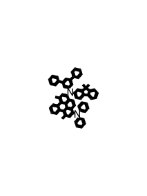 Cc1cc(N(c2ccccc2)c2ccccc2)c2ccc3c(N(c4cc(-c5ccccc5)cc(-c5ccccc5)c4)c4ccc5c(c4)C(C)(C)c4ccccc4-5)cc(C)c4c5ccccc5c1c2c34